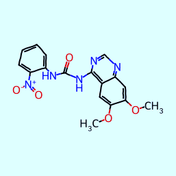 COc1cc2ncnc(NC(=O)Nc3ccccc3[N+](=O)[O-])c2cc1OC